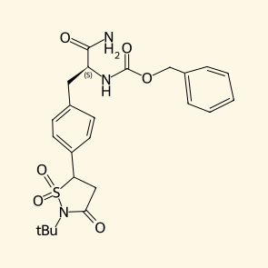 CC(C)(C)N1C(=O)CC(c2ccc(C[C@H](NC(=O)OCc3ccccc3)C(N)=O)cc2)S1(=O)=O